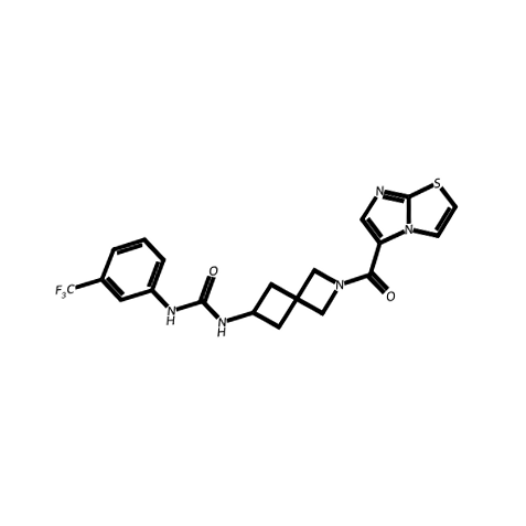 O=C(Nc1cccc(C(F)(F)F)c1)NC1CC2(C1)CN(C(=O)c1cnc3sccn13)C2